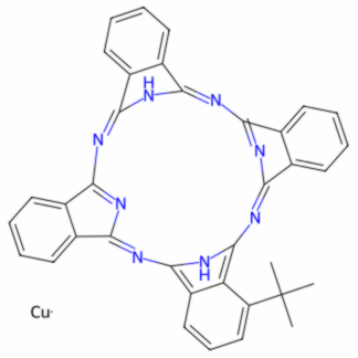 CC(C)(C)c1cccc2c3nc4nc(nc5[nH]c(nc6nc(nc([nH]3)c12)-c1ccccc1-6)c1ccccc51)-c1ccccc1-4.[Cu]